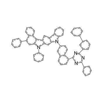 c1ccc(-c2cccc(-c3nc(-c4ccccc4)nc(-c4cccc5cc(-n6c7ccccc7c7cc8c9c%10ccccc%10c(-c%10ccccc%10)cc9n(-c9ccccc9)c8cc76)ccc45)n3)c2)cc1